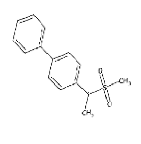 C[C](c1ccc(-c2ccccc2)cc1)S(C)(=O)=O